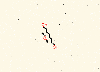 C=COC=C.OCCCCCCCCO